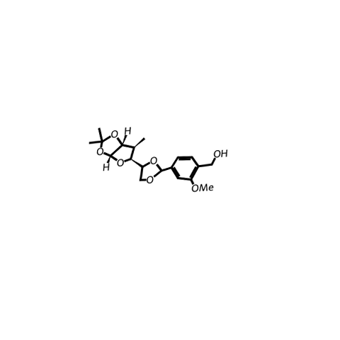 COc1cc(C2OCC([C@H]3O[C@@H]4OC(C)(C)O[C@@H]4[C@H]3C)O2)ccc1CO